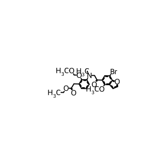 CCOC(=O)Cc1cccc(N(C)CC(=O)c2cc(Br)c3occc3c2OC)c1OCOC